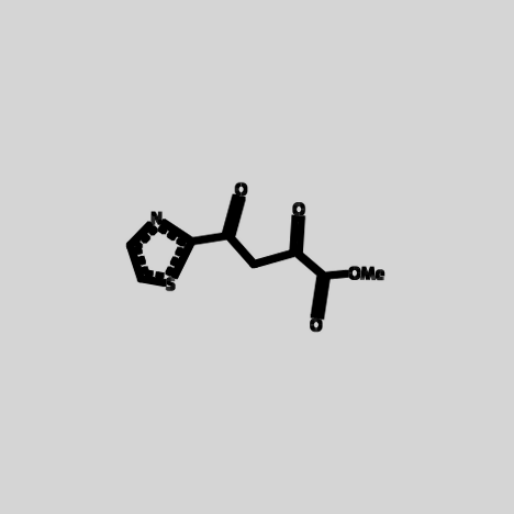 COC(=O)C(=O)CC(=O)c1nccs1